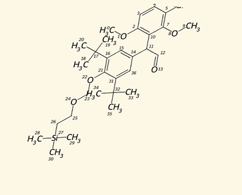 COc1ccc(Br)c(OC)c1C(C=O)c1cc(C(C)(C)C)c(OCOCC[Si](C)(C)C)c(C(C)(C)C)c1